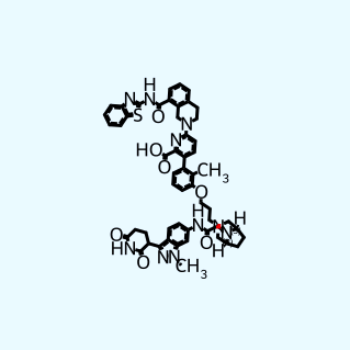 Cc1c(OCCCN2C[C@H]3CC[C@@H](C2)N3CC(=O)Nc2ccc3c(C4CCC(=O)NC4=O)nn(C)c3c2)cccc1-c1ccc(N2CCc3cccc(C(=O)Nc4nc5ccccc5s4)c3C2)nc1C(=O)O